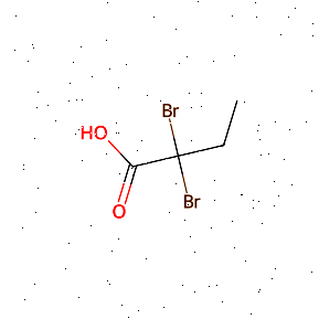 CCC(Br)(Br)C(=O)O